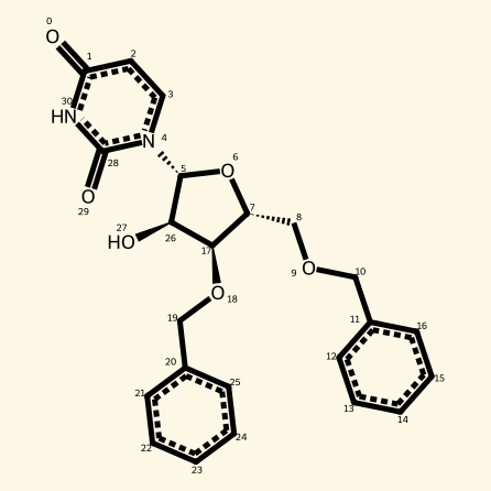 O=c1ccn([C@@H]2O[C@H](COCc3ccccc3)[C@@H](OCc3ccccc3)[C@H]2O)c(=O)[nH]1